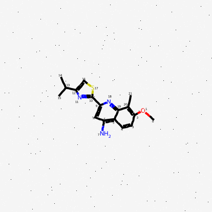 COc1ccc2c(N)cc(-c3nc(C(C)C)cs3)nc2c1C